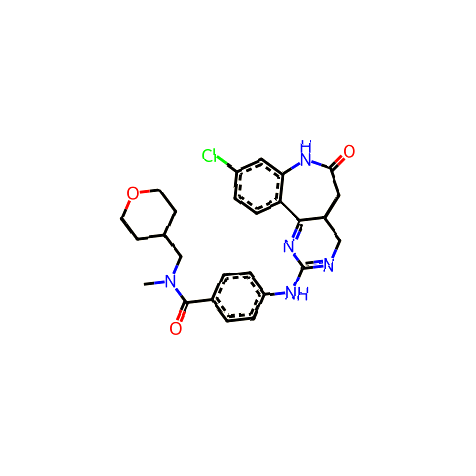 CN(CC1CCOCC1)C(=O)c1ccc(NC2=NCC3CC(=O)Nc4cc(Cl)ccc4C3=N2)cc1